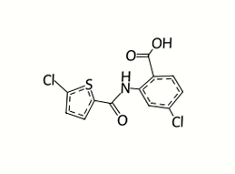 O=C(Nc1cc(Cl)ccc1C(=O)O)c1ccc(Cl)s1